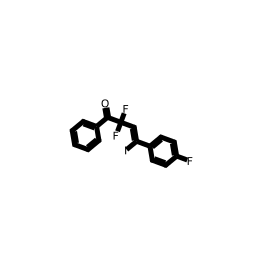 O=C(c1ccccc1)C(F)(F)C=C(I)c1ccc(F)cc1